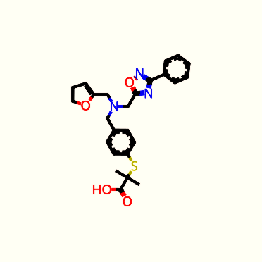 CC(C)(Sc1ccc(CN(CC2=CCCO2)Cc2nc(-c3ccccc3)no2)cc1)C(=O)O